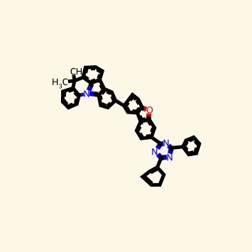 CC1(C)c2ccccc2-n2c3ccc(-c4ccc5oc6cc(-c7nc(C8=CC=CCC8)nc(-c8ccccc8)n7)ccc6c5c4)cc3c3cccc1c32